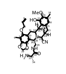 C=CCOc1c(C)c2c(c3c1CC1[C@@H]4c5c(cc(C)c(OC)c5O)C[C@H](C(C#N)N1[C@H]3CNC(=O)[C@H](C)N)N4C)OCO2